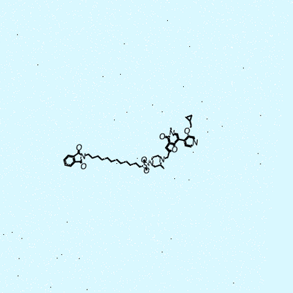 CC1CN(S(=O)(=O)CCCCCCCCCCCCN2C(=O)c3ccccc3C2=O)CCN1Cc1cc2c(=O)n(C)cc(-c3ccncc3OCC3CC3)c2o1